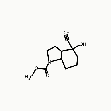 C#CC1(O)CCCC2C1CCN2C(=O)OC